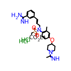 CCOC(=O)CS(=O)(=O)N(C/C=C/c1cccc(C(=N)N)c1)c1ccc(OC2CCN(C(C)=N)CC2)cc1C.Cl.Cl